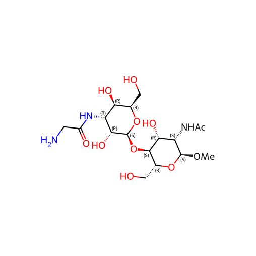 CO[C@H]1O[C@H](CO)[C@@H](O[C@@H]2O[C@H](CO)[C@H](O)[C@@H](NC(=O)CN)[C@H]2O)[C@H](O)[C@@H]1NC(C)=O